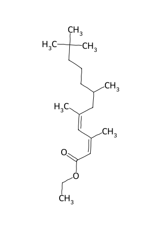 CCOC(=O)C=C(C)C=C(C)CC(C)CCCC(C)(C)C